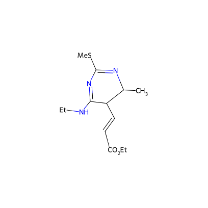 CCNC1=NC(SC)=NC(C)C1/C=C/C(=O)OCC